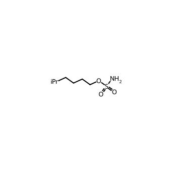 CC(C)CCCCOS(N)(=O)=O